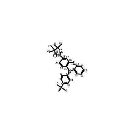 CC(C)(C)c1ccc(N2c3ccccc3Sc3cc(B4OC(C)(C)C(C)(C)O4)ccc32)cc1